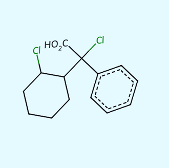 O=C(O)C(Cl)(c1ccccc1)C1CCCCC1Cl